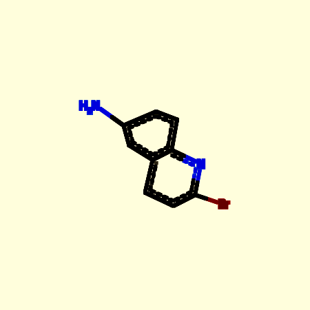 Nc1ccc2nc(Br)ccc2c1